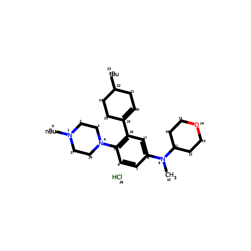 CCCCN1CCN(c2ccc(N(C)C3CCOCC3)cc2C2=CCC(C(C)(C)C)CC2)CC1.Cl